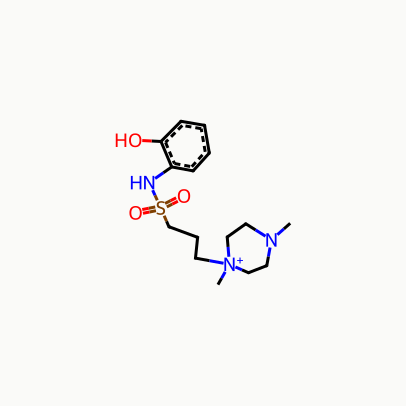 CN1CC[N+](C)(CCCS(=O)(=O)Nc2ccccc2O)CC1